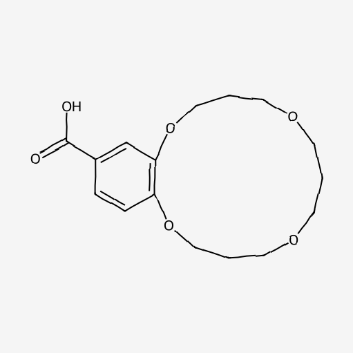 O=C(O)c1ccc2c(c1)OCCCOCCCOCCCO2